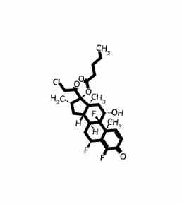 CCCCC(=O)O[C@@]1(C(=O)CCl)[C@@H](C)C[C@H]2[C@@H]3C[C@H](F)C4=C(F)C(=O)C=C[C@]4(C)[C@@]3(F)[C@@H](O)C[C@@]21C